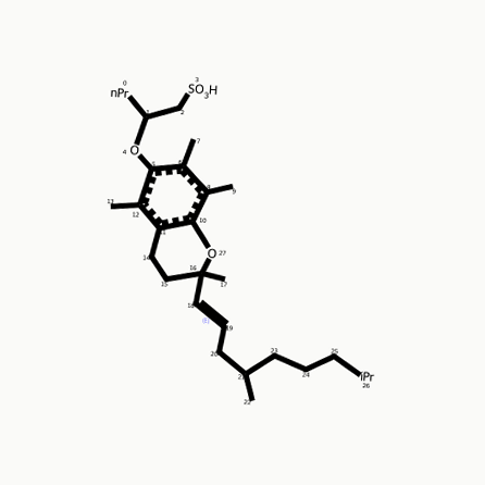 CCCC(CS(=O)(=O)O)Oc1c(C)c(C)c2c(c1C)CCC(C)(/C=C/CC(C)CCCC(C)C)O2